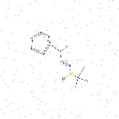 CC(C)(C)[S+]([O-])/N=C/C(F)c1ccccc1